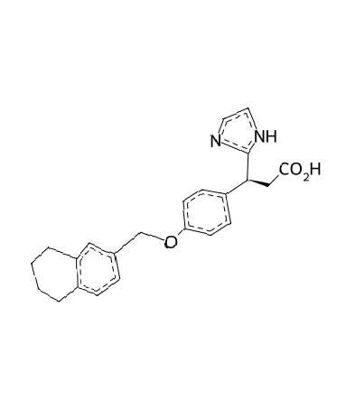 O=C(O)C[C@@H](c1ccc(OCc2ccc3c(c2)CCCC3)cc1)c1ncc[nH]1